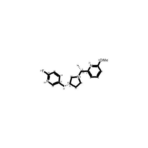 COc1cccc([C@@H](C)N2CC[C@H](Cc3ccc(F)nc3)C2)n1